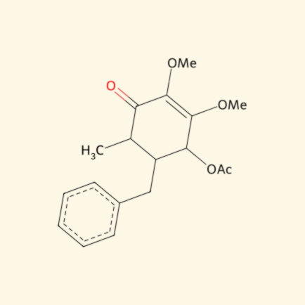 COC1=C(OC)C(OC(C)=O)C(Cc2ccccc2)C(C)C1=O